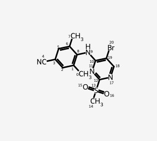 Cc1cc(C#N)cc(C)c1Nc1nc(S(C)(=O)=O)ncc1Br